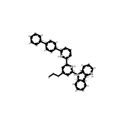 CCCc1cc(-c2cccc(-c3ccc(-c4ccccc4)cc3)n2)nc(-n2c3ccccc3c3ncccc32)c1